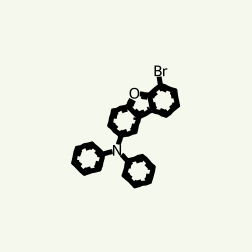 Brc1cccc2c1oc1ccc(N(c3ccccc3)c3ccccc3)cc12